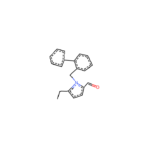 CCc1ccc(C=O)n1Cc1ccccc1-c1ccccc1